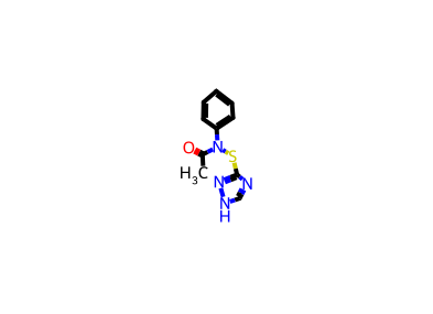 CC(=O)N(Sc1nc[nH]n1)c1ccccc1